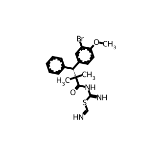 COc1ccc([C@@H](c2ccccc2)C(C)(C)C(=O)NC(=N)SC=N)cc1Br